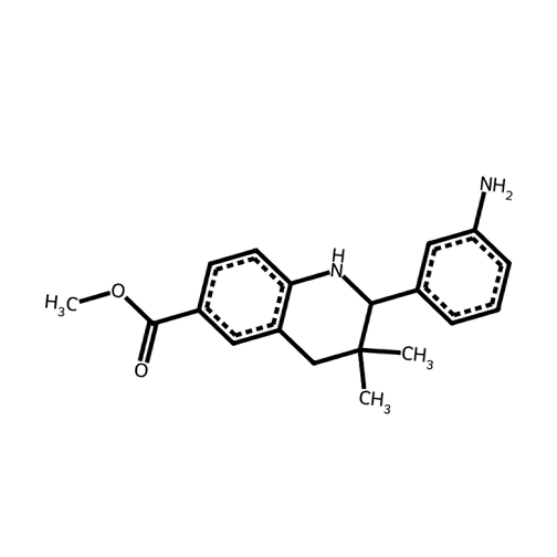 COC(=O)c1ccc2c(c1)CC(C)(C)C(c1cccc(N)c1)N2